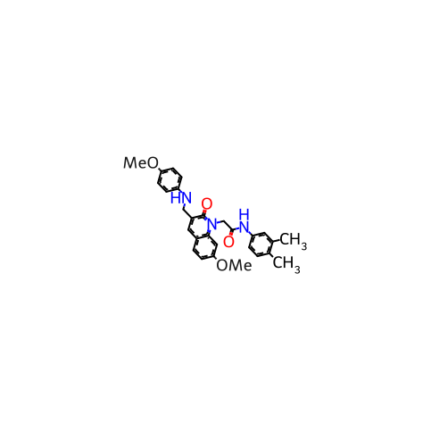 COc1ccc(NCc2cc3ccc(OC)cc3n(CC(=O)Nc3ccc(C)c(C)c3)c2=O)cc1